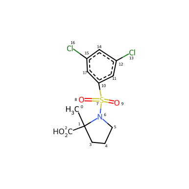 CC1(C(=O)O)CCCN1S(=O)(=O)c1cc(Cl)cc(Cl)c1